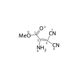 COC(=O)C(N)=C(C#N)C#N